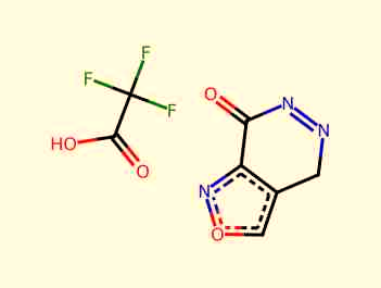 O=C(O)C(F)(F)F.O=C1N=NCc2conc21